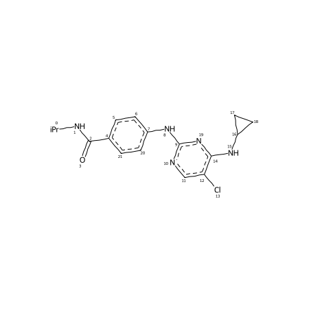 CC(C)NC(=O)c1ccc(Nc2ncc(Cl)c(NC3CC3)n2)cc1